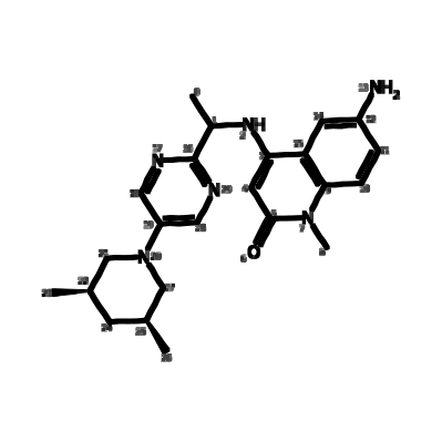 CC(Nc1cc(=O)n(C)c2ccc(N)cc12)c1ncc(N2C[C@H](C)C[C@H](C)C2)cn1